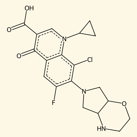 O=C(O)c1cn(C2CC2)c2c(Cl)c(N3CC4NCCOC4C3)c(F)cc2c1=O